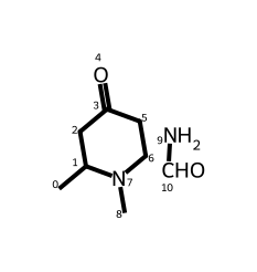 CC1CC(=O)CCN1C.NC=O